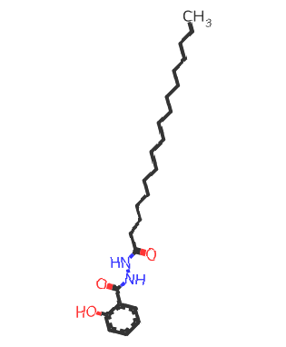 CCCCCCCCCCCCCCCCCC(=O)NNC(=O)c1ccccc1O